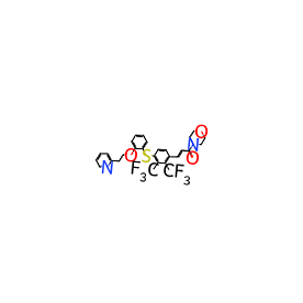 O=C(/C=C/c1ccc(Sc2ccccc2OCCc2ccccn2)c(C(F)(F)F)c1C(F)(F)F)N1CCOCC1